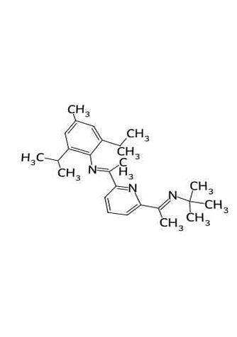 CC(=Nc1c(C(C)C)cc(C)cc1C(C)C)c1cccc(C(C)=NC(C)(C)C)n1